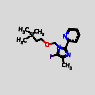 Cc1nc(-c2ccccn2)n(COCC[Si](C)(C)C)c1I